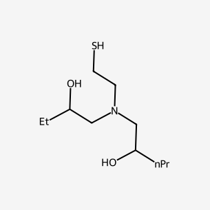 CCCC(O)CN(CCS)CC(O)CC